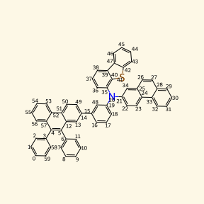 c1ccc(-c2c(-c3ccccc3)c3cc(-c4cccc(N(c5ccc6c(ccc7ccccc76)c5)c5cccc6c5sc5ccccc56)c4)ccc3c3ccccc23)cc1